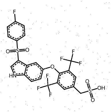 O=S(=O)(O)Cc1cc(C(F)(F)F)c(Oc2ccc3[nH]cc(S(=O)(=O)c4ccc(F)cc4)c3c2)c(C(F)(F)F)c1